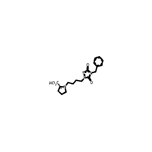 O=C(O)[C@@H]1CCCN1CCCCn1sc(=O)n(Cc2ccccc2)c1=O